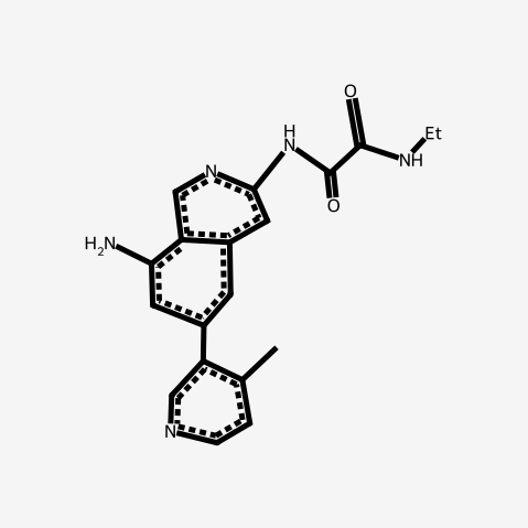 CCNC(=O)C(=O)Nc1cc2cc(-c3cnccc3C)cc(N)c2cn1